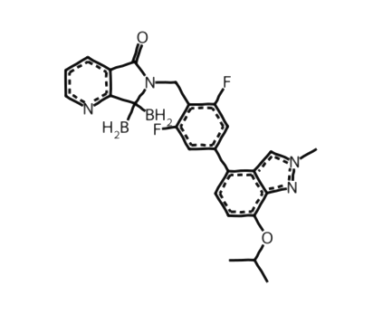 BC1(B)c2ncccc2C(=O)N1Cc1c(F)cc(-c2ccc(OC(C)C)c3nn(C)cc23)cc1F